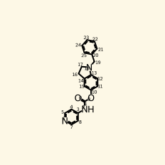 O=C(Nc1ccncc1)Oc1ccc2c(c1)CCN2Cc1ccccc1